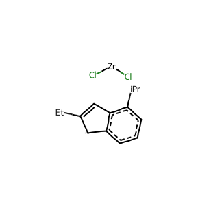 CCC1=Cc2c(cccc2C(C)C)[CH]1.[Cl][Zr][Cl]